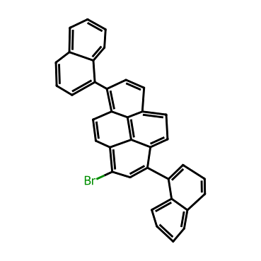 Brc1cc(-c2cccc3ccccc23)c2ccc3ccc(-c4cccc5ccccc45)c4ccc1c2c34